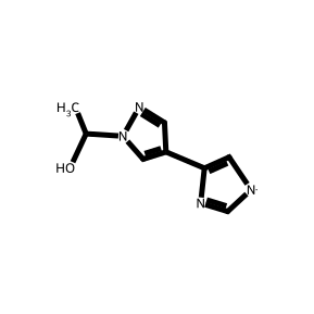 CC(O)n1cc(C2=C[N]C=N2)cn1